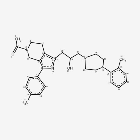 CC(=O)N1CCc2c(c(-c3ccc(C)cc3)nn2CC(O)CN2CCN(c3ccccc3C)CC2)C1